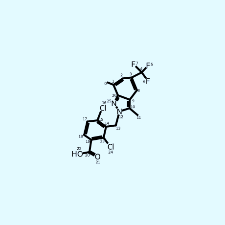 Cc1cc(C(F)(F)F)cc2c(C)n(Cc3c(Cl)ccc(C(=O)O)c3Cl)nc12